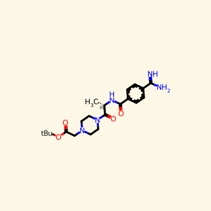 C[C@H](NC(=O)c1ccc(C(=N)N)cc1)C(=O)N1CCN(CC(=O)OC(C)(C)C)CC1